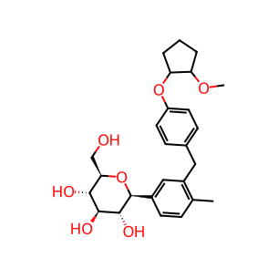 COC1CCCC1Oc1ccc(Cc2cc([C@@H]3O[C@H](CO)[C@@H](O)[C@H](O)[C@H]3O)ccc2C)cc1